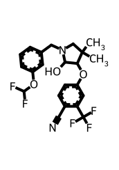 CC1(C)CN(Cc2cccc(OC(F)F)c2)C(O)C1Oc1ccc(C#N)c(C(F)(F)F)c1